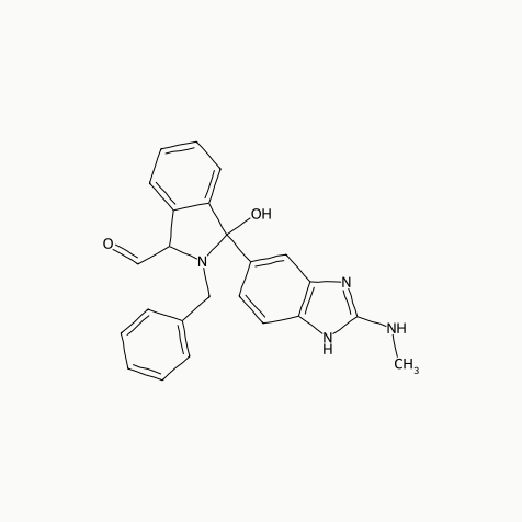 CNc1nc2cc(C3(O)c4ccccc4C(C=O)N3Cc3ccccc3)ccc2[nH]1